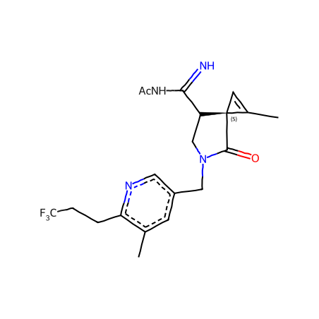 CC(=O)NC(=N)C1CN(Cc2cnc(CCC(F)(F)F)c(C)c2)C(=O)[C@@]12C=C2C